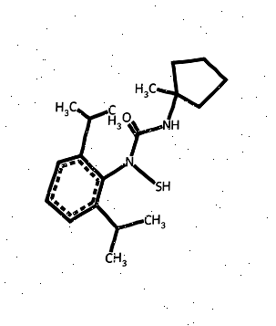 CC(C)c1cccc(C(C)C)c1N(S)C(=O)NC1(C)CCCC1